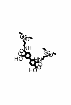 CCO[Si](C)(CCCNC(=O)c1ccc(-c2ccc(C(=O)O)c(C(=O)NCCC[Si](C)(OCC)OCC)c2)cc1C(=O)O)OCC